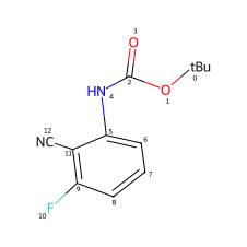 CC(C)(C)OC(=O)Nc1cccc(F)c1C#N